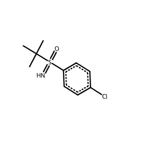 CC(C)(C)S(=N)(=O)c1ccc(Cl)cc1